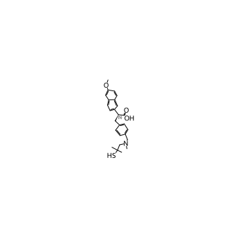 COc1ccc2cc([C@H](Cc3ccc(CN(C)CC(C)(C)S)cc3)C(=O)O)ccc2c1